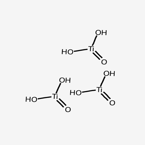 [O]=[Ti]([OH])[OH].[O]=[Ti]([OH])[OH].[O]=[Ti]([OH])[OH]